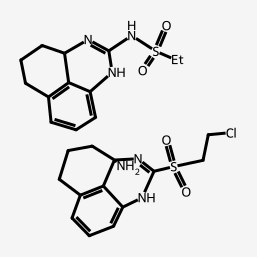 CCS(=O)(=O)NC1=NC2CCCc3cccc(c32)N1.NC12CCCc3cccc(c31)NC(S(=O)(=O)CCCl)=N2